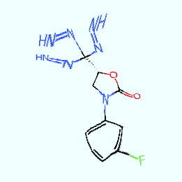 N=NC(N=N)(N=N)[C@H]1CN(c2cccc(F)c2)C(=O)O1